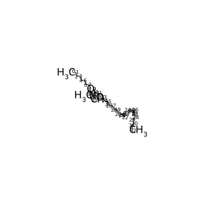 CCCCCCCCOCC(COCCCCCCCC[C@H]1C[C@H]1C[C@H]1C[C@H]1CCCCC)N(C)C